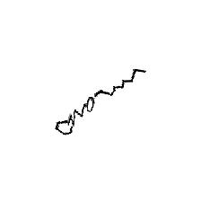 CCCCCCCCOCCCN1CCCC1